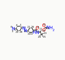 CN(C)c1ccc(/N=N/c2ccc(C(=O)NC(COC(N)=O)C(C)(C)C)cc2)cc1